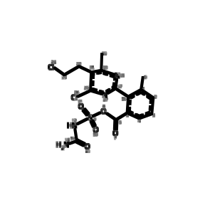 Cc1cccc(C(=O)OS(=O)(=O)NC(N)=O)c1-c1nc(C)c(CCCl)c(Cl)n1